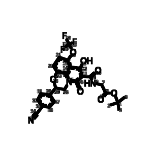 CC(C)(C)OC(=O)CNC(=O)c1c(O)c2c(OC(F)(F)F)ccc3c2n(c1=O)CC(c1ccc(C#N)cc1)O3